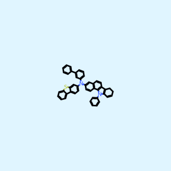 C1=Cc2c(c3ccc4cc(N(c5cccc(-c6ccccc6)c5)c5ccc6c(c5)sc5ccccc56)ccc4c3n2-c2ccccc2)CC1